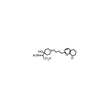 CC(=O)NC(C(=O)O)C1(O)CCN(CCCCc2ccc3c(n2)NCCC3)CC1